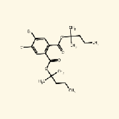 CCCC(C)(C)OC(=O)c1cc(Cl)c(Br)cc1C(=O)OC(C)(C)CCC